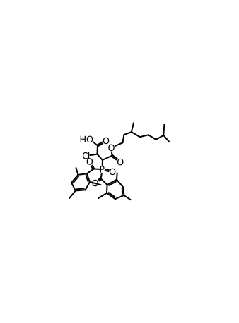 Cc1cc(C)c(C(=O)P(=O)(C(=O)c2c(C)cc(C)cc2C)C(C(=O)OCCC(C)CCCC(C)C)C(Cl)C(=O)O)c(C)c1